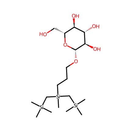 C[Si](C)(C)C[Si](C)(CCCO[C@@H]1O[C@H](CO)[C@@H](O)[C@H](O)[C@H]1O)C[Si](C)(C)C